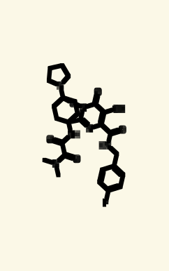 CN(C)C(=O)C(=O)NC12CCC(N3CCCC3)(CC1)Cn1c2nc(C(=O)NCc2ccc(F)cc2)c(O)c1=O